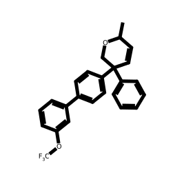 CC1C=CC(c2ccccc2)(c2ccc(-c3cccc(OC(F)(F)F)c3)cc2)CO1